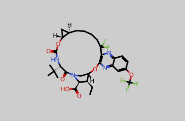 CC[C@@H]1[C@@H]2CN(C(=O)[C@H](C(C)(C)C)NC(=O)O[C@@H]3C[C@H]3CCCCC(F)(F)c3nc4ccc(OC(F)(F)F)cc4nc3O2)[C@@H]1C(=O)O